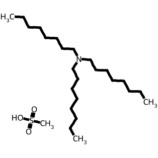 CCCCCCCCN(CCCCCCCC)CCCCCCCC.CS(=O)(=O)O